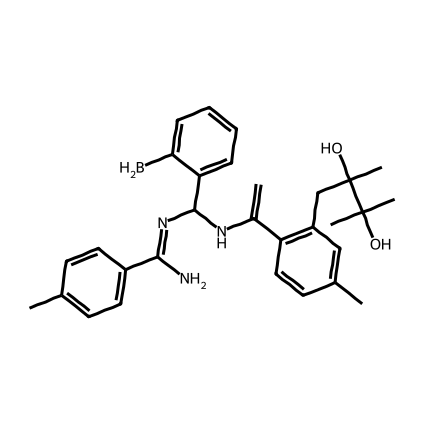 Bc1ccccc1C(/N=C(\N)c1ccc(C)cc1)NC(=C)c1ccc(C)cc1CC(C)(O)C(C)(C)O